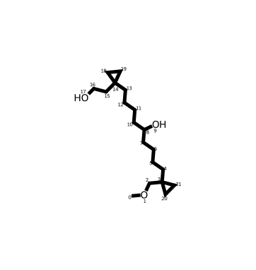 COCC1(CCCCC(O)CCCCC2(CCO)CC2)CC1